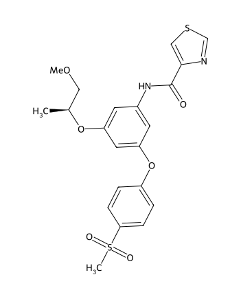 COC[C@H](C)Oc1cc(NC(=O)c2cscn2)cc(Oc2ccc(S(C)(=O)=O)cc2)c1